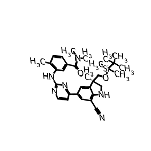 Cc1ccc(C(=O)N(C)C)cc1Nc1nccc(-c2cc(C#N)c3c(c2)[C@@](C)(CO[Si](C)(C)C(C)(C)C)CN3)n1